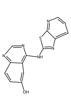 Oc1ccc2ncnc(Nc3nc4cccnc4s3)c2c1